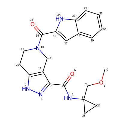 COCC1(NC(=O)c2n[nH]c3c2CN(C(=O)c2cc4ccccc4[nH]2)CC3)CC1